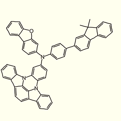 CC1(C)c2ccccc2-c2ccc(-c3ccc(N(c4ccc5c(c4)oc4ccccc45)c4ccc5c(c4)n4c6ccccc6c6ccc7c8ccccc8n5c7c64)cc3)cc21